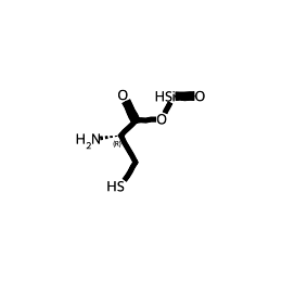 N[C@@H](CS)C(=O)O[SiH]=O